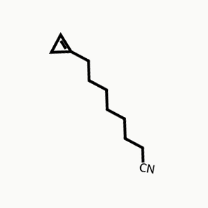 N#CCCCCCCCC1=CC1